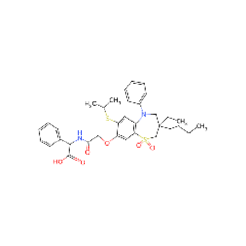 CCCCC1(CC)CN(c2ccccc2)c2cc(SC(C)C)c(OCC(=O)NC(C(=O)O)c3ccccc3)cc2S(=O)(=O)C1